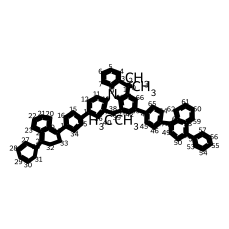 CC1(C)c2ccccc2N2c3ccc(-c4ccc(C5=c6ccccc6=C(C6C=CC=CC6)CC5)cc4)cc3C(C)(C)c3cc(-c4ccc(-c5ccc(-c6ccccc6)c6ccccc56)cc4)cc1c32